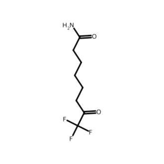 NC(=O)CCCCCC(=O)C(F)(F)F